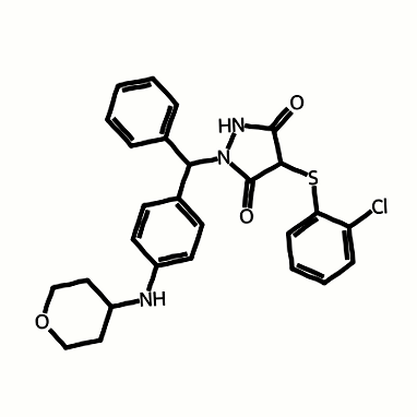 O=C1NN(C(c2ccccc2)c2ccc(NC3CCOCC3)cc2)C(=O)C1Sc1ccccc1Cl